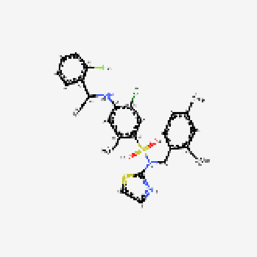 COc1ccc(CN(c2nccs2)S(=O)(=O)c2cc(Cl)c(NC(C)c3ccccc3F)cc2C)c(OC)c1